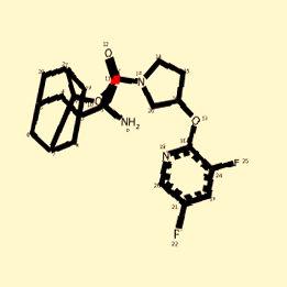 NC(=O)C12CC3CC(C1)C(OC(=O)N1CCC(Oc4ncc(F)cc4F)C1)C(C3)C2